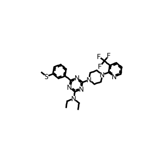 CCN(CC)c1nc(-c2cccc(SC)c2)nc(N2CCN(c3ncccc3C(F)(F)F)CC2)n1